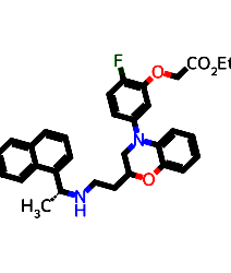 CCOC(=O)COc1cc(N2CC(CCN[C@H](C)c3cccc4ccccc34)Oc3ccccc32)ccc1F